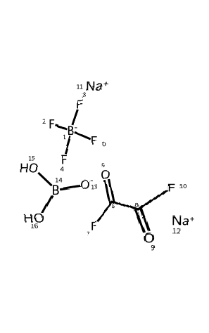 F[B-](F)(F)F.O=C(F)C(=O)F.[Na+].[Na+].[O-]B(O)O